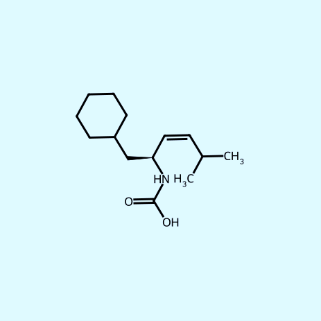 CC(C)/C=C\[C@H](CC1CCCCC1)NC(=O)O